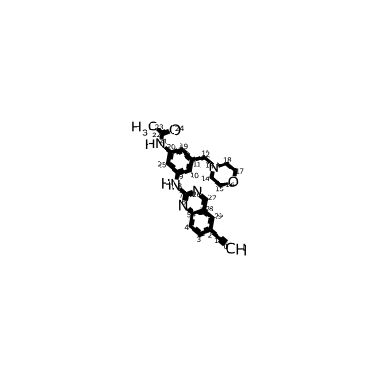 C#Cc1ccc2nc(Nc3cc(CN4CCOCC4)cc(NC(C)=O)c3)ncc2c1